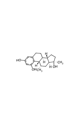 C[C@H]1C[C@H]2[C@@H](CC[C@@]2(C)O)[C@@H]2CCc3cc(O)cc(O)c3[C@H]21